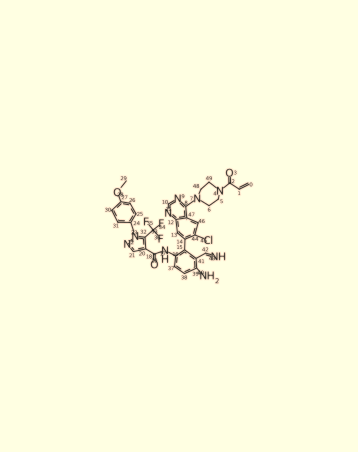 C=CC(=O)N1CCN(c2ncnc3cc(-c4c(NC(=O)c5cnn(-c6ccc(OC)cc6)c5C(F)(F)F)ccc(N)c4C=N)c(Cl)cc23)CC1